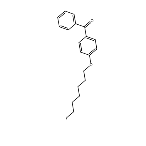 O=C(c1ccccc1)c1ccc(OCCCCCCI)cc1